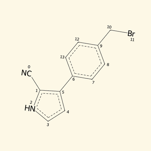 N#Cc1[nH]ccc1-c1ccc(CBr)cc1